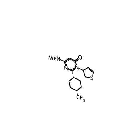 CNc1cc(=O)n(C2C=CSC2)c([C@H]2CC[C@@H](C(F)(F)F)CC2)n1